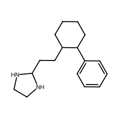 c1ccc(C2CCCCC2CCC2NCCN2)cc1